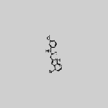 COc1cccc(NC(=O)Cc2cc3c(Br)ccnc3[nH]2)c1